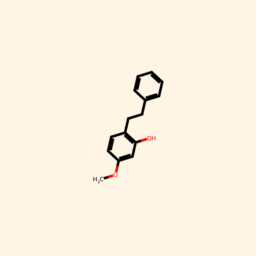 COc1ccc(CCc2ccccc2)c(O)c1